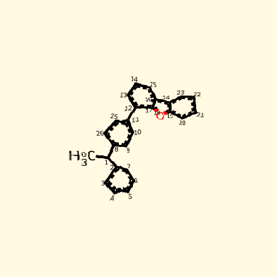 CC(c1ccccc1)c1ccc(-c2cccc3c2oc2ccccc23)cc1